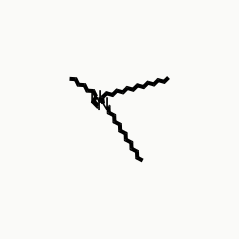 CCCCCCCCCCCCCC1N(CCCCCC)C=CN1CCCCCCCCCCCCC